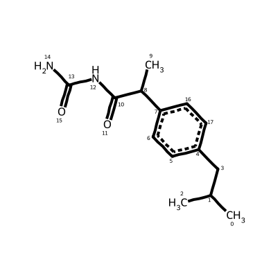 CC(C)Cc1ccc(C(C)C(=O)NC(N)=O)cc1